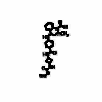 CCC(=O)N1c2ccccc2[C@H](Nc2ccc(C(=O)NC3CC(NC(=O)OC(C)(C)C)C3)cc2)C[C@@H]1C